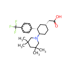 CC1(C)CN([C@@H]2CC[C@@H](CC(=O)O)C[C@H]2c2ccc(C(F)(F)F)cc2)CC(C)(C)C1